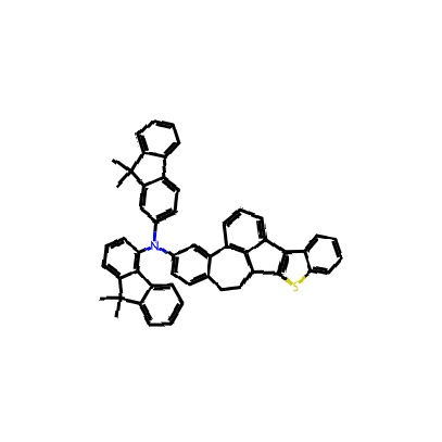 CC1(C)c2ccccc2-c2ccc(N(c3ccc4c(c3)-c3cccc5c3C(CC4)c3sc4ccccc4c3-5)c3cccc4c3-c3ccccc3C4(C)C)cc21